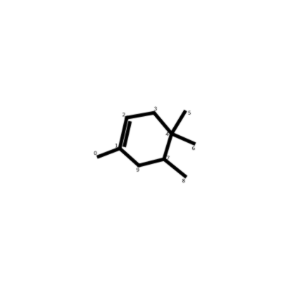 CC1=CCC(C)(C)C(C)C1